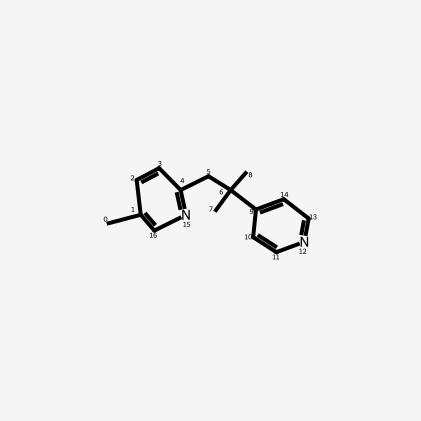 Cc1ccc(CC(C)(C)c2ccncc2)nc1